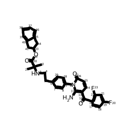 CC(C)(NCCc1ccc(-n2c(N)c(C(=O)c3ccc(F)cc3F)ccc2=O)cc1)C(=O)OC1Cc2ccccc2C1